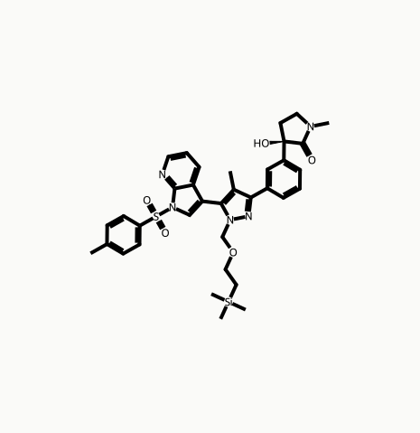 Cc1ccc(S(=O)(=O)n2cc(-c3c(C)c(-c4cccc([C@]5(O)CCN(C)C5=O)c4)nn3COCC[Si](C)(C)C)c3cccnc32)cc1